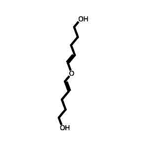 OCCCC=COC=CCCCO